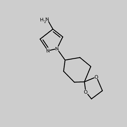 Nc1cnn(C2CCC3(CC2)OCCO3)c1